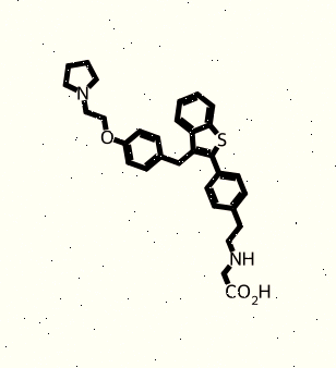 O=C(O)CNCCc1ccc(-c2sc3ccccc3c2Cc2ccc(OCCN3CCCC3)cc2)cc1